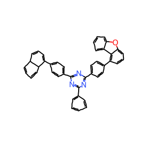 C1=CC2C=CC=C(c3ccc(-c4nc(-c5ccccc5)nc(-c5ccc(-c6cccc7oc8ccccc8c67)cc5)n4)cc3)C2C=C1